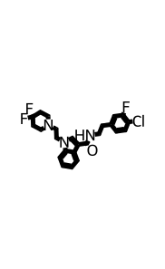 O=C(NCCc1ccc(Cl)c(F)c1)c1cn(CCN2CCC(F)(F)CC2)c2ccccc12